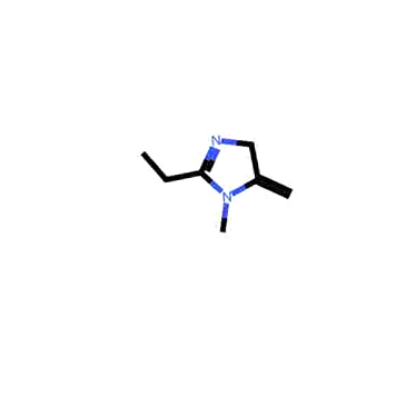 C=C1CN=C(CC)N1C